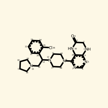 O=C1CNc2ncnc(N3CCN(C(CN4CCCC4)c4ccccc4Cl)CC3)c2N1